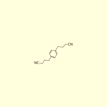 N#CCCCc1ccc(CCCC#N)cc1